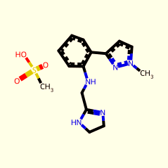 CS(=O)(=O)O.Cn1ccc(-c2ccccc2NCC2=NCCN2)n1